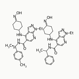 CCn1ncc2c(NC3CCC(=NO)CC3)c(C(=O)NC(C)c3ccccc3)cnc21.CCn1ncc2c(NC3CCC(=NO)CC3)c(C(=O)N[C@H](C)c3ccc(C)cc3)cnc21